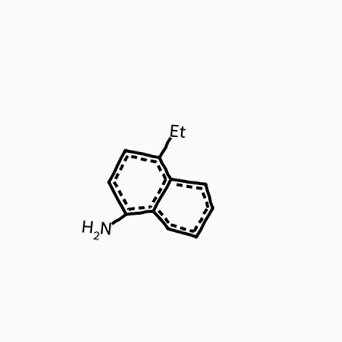 CCc1ccc(N)c2ccccc12